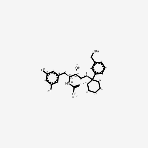 CC(C)(C)Cc1cccc(C2(NC[C@@H](O)[C@H](Cc3cc(F)cc(F)c3)NC(=O)C(F)(F)F)CCCCC2)c1